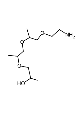 CC(O)COC(C)COC(C)COCCN